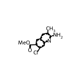 COC(=O)c1cc2cc(C)c(N)nc2cc1Cl